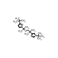 CC(C)(C)c1ccn(C(C)(C)OCC(C)(C)c2cn(C(C)(C)C)cn2)n1